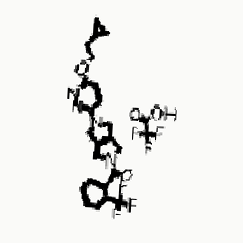 O=C(O)C(F)(F)F.O=C(c1ccccc1C(F)(F)F)N1CC2=C(C1)CN(c1ccc(OCCC3CC3)nn1)C2